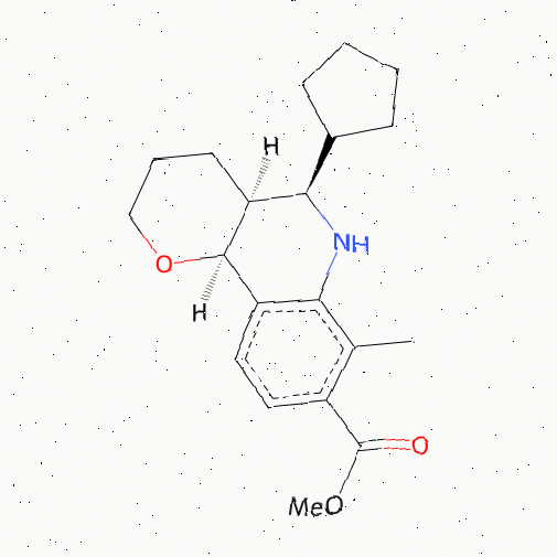 COC(=O)c1ccc2c(c1C)N[C@H](C1CCCC1)[C@@H]1CCCO[C@H]21